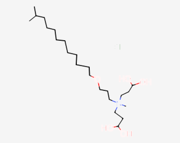 CC(C)CCCCCCCCCCOCCC[N+](C)(CCC(O)O)CCC(O)O.[Cl-]